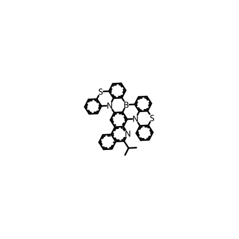 CC(C)c1nc2c3c4c(cc2c2ccccc12)N1c2ccccc2Sc2cccc(c21)B4c1cccc2c1N3c1ccccc1S2